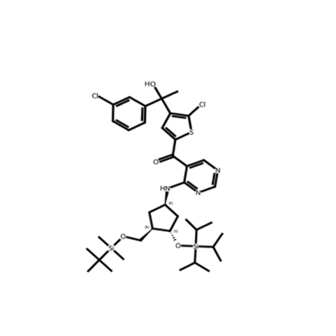 CC(C)[Si](O[C@H]1C[C@H](Nc2ncncc2C(=O)c2cc(C(C)(O)c3cccc(Cl)c3)c(Cl)s2)C[C@@H]1CO[Si](C)(C)C(C)(C)C)(C(C)C)C(C)C